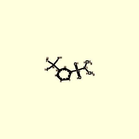 CN(C)S(=O)(=O)c1cccc(C(F)(F)F)c1